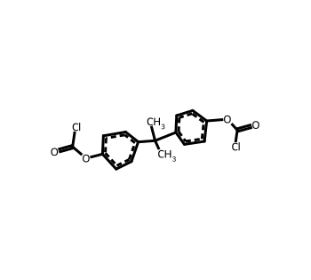 CC(C)(c1ccc(OC(=O)Cl)cc1)c1ccc(OC(=O)Cl)cc1